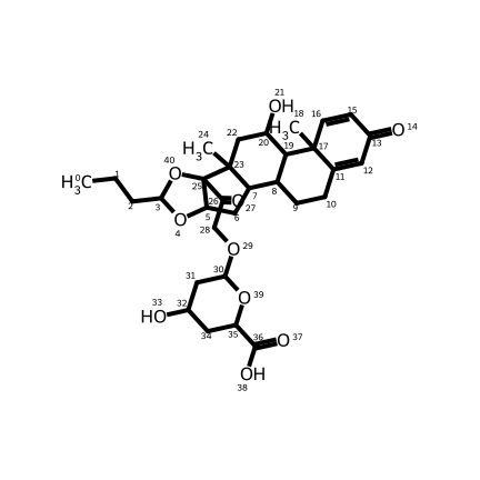 CCCC1OC2CC3C4CCC5=CC(=O)C=CC5(C)C4C(O)CC3(C)C2(C(=O)COC2CC(O)CC(C(=O)O)O2)O1